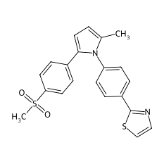 Cc1ccc(-c2ccc(S(C)(=O)=O)cc2)n1-c1ccc(-c2nccs2)cc1